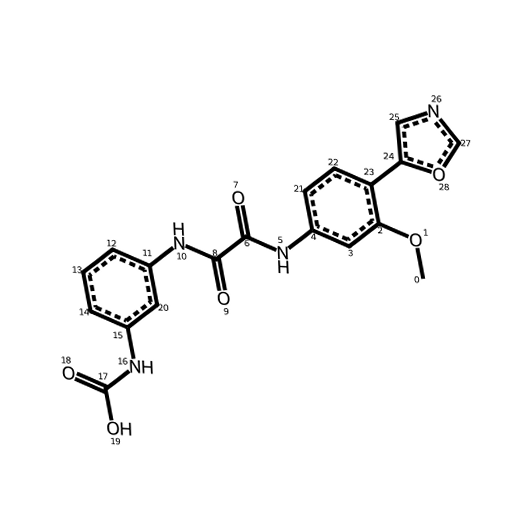 COc1cc(NC(=O)C(=O)Nc2cccc(NC(=O)O)c2)ccc1-c1cnco1